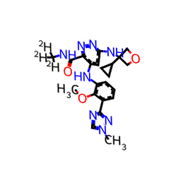 [2H]C([2H])([2H])NC(=O)c1nnc(NC2(C3CC3)COC2)cc1Nc1cccc(-c2ncn(C)n2)c1OC